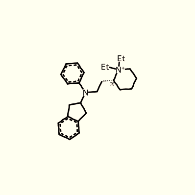 CC[N+]1(CC)CCCC[C@@H]1CCN(c1ccccc1)C1Cc2ccccc2C1